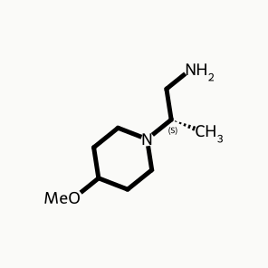 COC1CCN([C@@H](C)CN)CC1